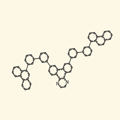 c1cc(-c2cccc(-c3cccc4c3ccc3ccccc34)c2)cc(-c2ccc3c(c2)c2cc(-c4cccc(-c5cccc(-c6cc7ccccc7c7ccccc67)c5)c4)ccc2c2nccnc32)c1